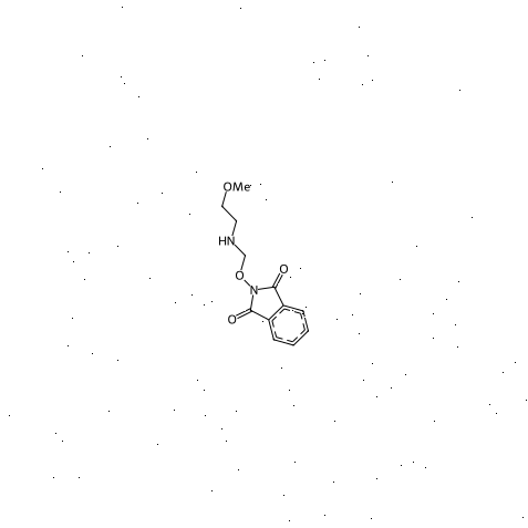 COCCNCON1C(=O)c2ccccc2C1=O